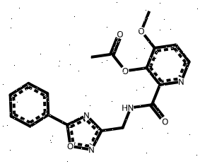 COc1ccnc(C(=O)NCc2noc(-c3ccccc3)n2)c1OC(C)=O